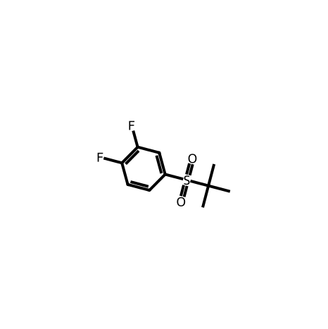 CC(C)(C)S(=O)(=O)c1ccc(F)c(F)c1